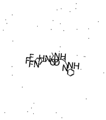 CC(NC(=O)C1CC1c1nc2ccccc2[nH]1)C(=O)NCc1ccc(C(F)(F)F)nc1